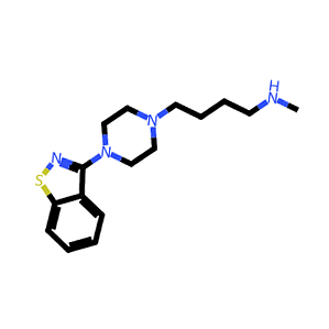 CNCCCCN1CCN(c2nsc3ccccc23)CC1